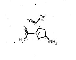 CC(=O)N1CC(N)C[C@H]1C(=O)O